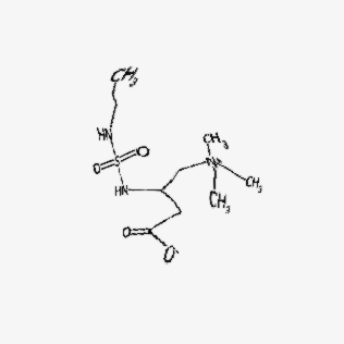 CCNS(=O)(=O)NC(CC(=O)[O-])C[N+](C)(C)C